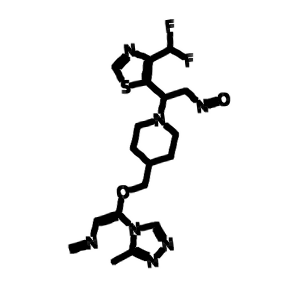 C=N/C=C(/OCC1CCN(C(CN=O)c2scnc2C(F)F)CC1)n1cnnc1C